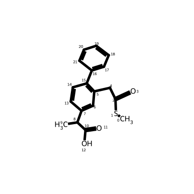 CSC(=O)Cc1cc(C(C)C(=O)O)ccc1-c1ccccc1